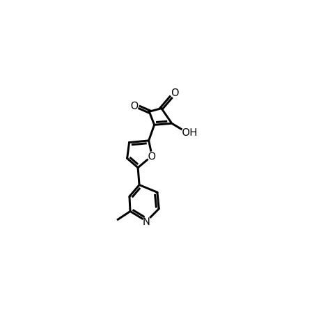 Cc1cc(-c2ccc(-c3c(O)c(=O)c3=O)o2)ccn1